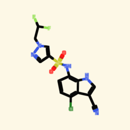 N#Cc1c[nH]c2c(NS(=O)(=O)c3cnn(CC(F)F)c3)ccc(Cl)c12